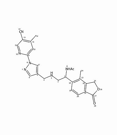 CC(=O)NC(CNCc1cnn(-c2cc(C)c(C#N)cn2)c1)c1ccc2c(c1C)COC2=O